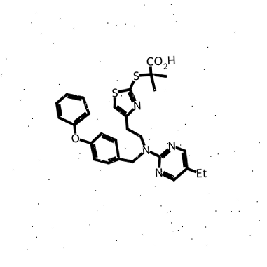 CCc1cnc(N(CCc2csc(SC(C)(C)C(=O)O)n2)Cc2ccc(Oc3ccccc3)cc2)nc1